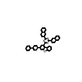 C1=CC(c2cc(-c3nc(-c4ccc5ccccc5c4)nc(-c4ccc5ccccc5c4)n3)c3c(c2)oc2ccccc23)CC=C1c1ccccc1